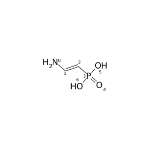 NC=CP(=O)(O)O